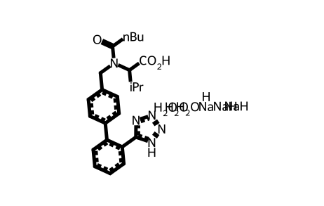 CCCCC(=O)N(Cc1ccc(-c2ccccc2-c2nnn[nH]2)cc1)C(C(=O)O)C(C)C.O.O.O.[NaH].[NaH].[NaH]